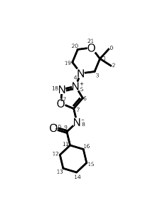 CC1(C)CN([n+]2cc([N-]C(=O)C3CCCCC3)on2)CCO1